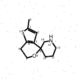 Cc1cc2c(s1)CCOC21CCCNC1